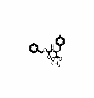 COC(=O)[C@H](Cc1ccc(I)cc1)NC(=O)OCc1ccccc1